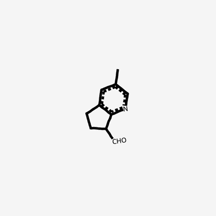 Cc1cnc2c(c1)CCC2C=O